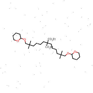 CCOC(=O)C(CCCCC(C)(C)COC1CCCCO1)(CCCCC(C)(C)COC1CCCCO1)C(=O)OCC